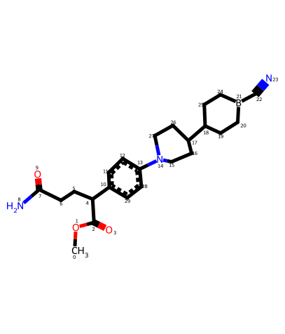 COC(=O)C(CCC(N)=O)c1ccc(N2CCC(C3CCB(C#N)CC3)CC2)cc1